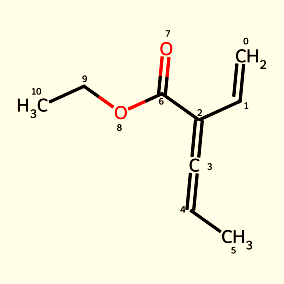 C=CC(=C=CC)C(=O)OCC